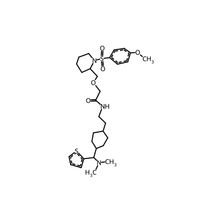 COc1ccc(S(=O)(=O)N2CCCCC2COCC(=O)NCCC2CCC(C(c3cccs3)N(C)C)CC2)cc1